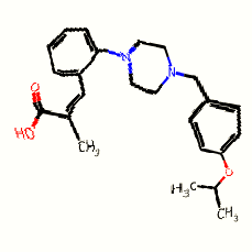 CC(=Cc1ccccc1N1CCN(Cc2ccc(OC(C)C)cc2)CC1)C(=O)O